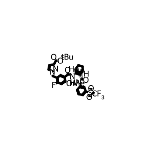 COc1cc(F)c(Cn2ccc(C(=O)OC(C)(C)C)n2)cc1C(=O)N[C@@H]1[C@H]2CC[C@H](C2)[C@@H]1C(=O)Nc1cccc(S(=O)(=O)C(F)(F)F)c1